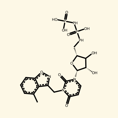 Cc1cccc2onc(Cn3c(=O)ccn([C@@H]4O[C@H](CPP(=O)(O)PP(=O)(O)O)C(O)[C@@H]4O)c3=O)c12